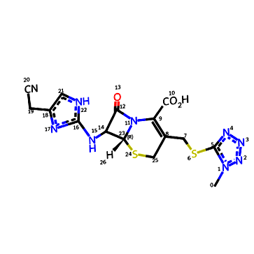 Cn1nnnc1SCC1=C(C(=O)O)N2C(=O)C(Nc3nc(CC#N)c[nH]3)[C@H]2SC1